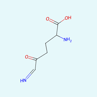 N=CC(=O)CCC(N)C(=O)O